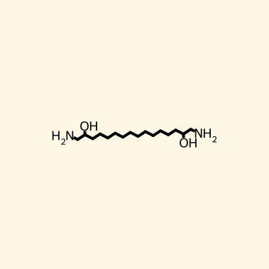 NCC(O)CCCCCCCCCCCCC(O)CN